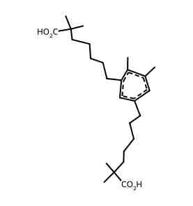 Cc1cc(CCCCCC(C)(C)C(=O)O)cc(CCCCCC(C)(C)C(=O)O)c1C